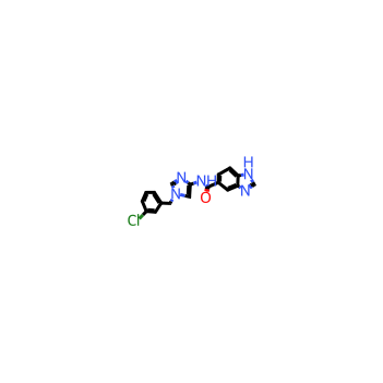 O=C(Nc1cn(Cc2cccc(Cl)c2)cn1)c1ccc2[nH]cnc2c1